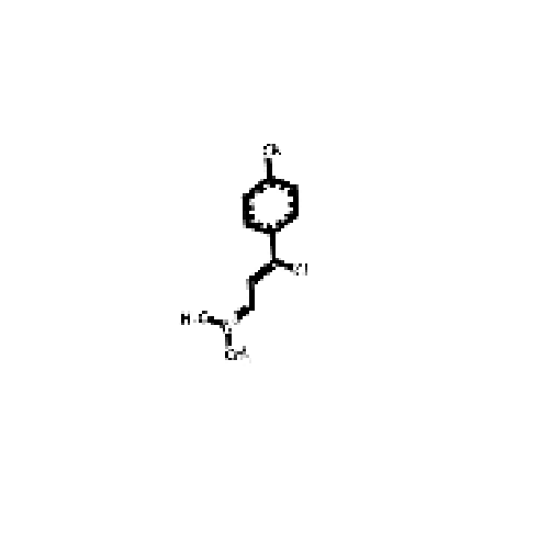 C[N+](C)=C/C=C(\Cl)c1ccc(C#N)cc1